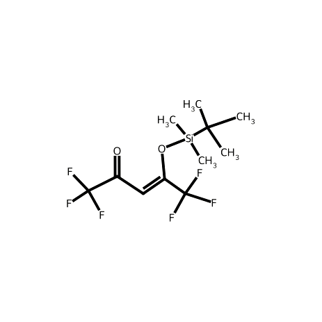 CC(C)(C)[Si](C)(C)O/C(=C\C(=O)C(F)(F)F)C(F)(F)F